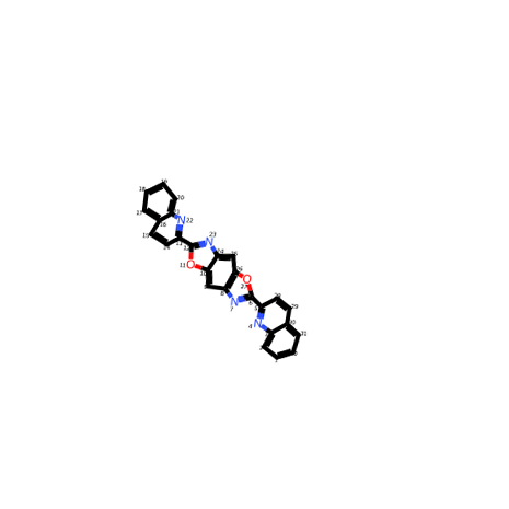 c1ccc2nc(-c3nc4cc5oc(-c6ccc7ccccc7n6)nc5cc4o3)ccc2c1